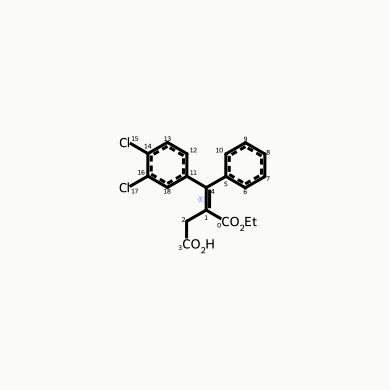 CCOC(=O)/C(CC(=O)O)=C(\c1ccccc1)c1ccc(Cl)c(Cl)c1